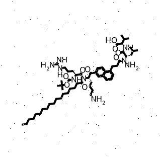 CCCCCCCCCCCCCCCCCC(=O)N(C(=O)[C@H](CCCNC(=N)N)NC(=O)OC(C)(C)C)[C@@H](CCCCN)C(=O)c1ccc2c(CCC(=O)N(N)[C@@H](CC(C)C)C(=O)N[C@H](C(=O)O)C(C)C)cccc2c1